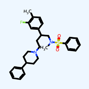 Cc1ccc(C(CCN2CCC(c3ccccc3)CC2)CN(C)S(=O)(=O)c2ccccc2)cc1F